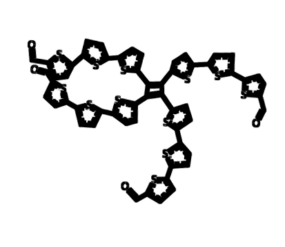 O=Cc1ccc(-c2ccc(-c3ccc(C4=C(c5ccc(-c6ccc(-c7ccc(C=O)s7)s6)s5)C(c5ccc(-c6ccc(-c7ccc(C=O)s7)s6)s5)=C4c4ccc(-c5ccc(-c6ccc(C=O)s6)s5)s4)s3)s2)s1